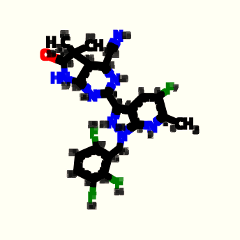 Cc1nc2c(cc1F)c(-c1nc(C#N)c3c(n1)NC(=O)C3(C)C)nn2Cc1c(F)ccc(F)c1F